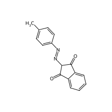 Cc1ccc(N=NC2C(=O)c3ccccc3C2=O)cc1